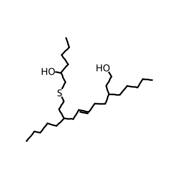 CCCCCC(CC=CCCC(CCO)CCCCC)CCSCC(O)CCCC